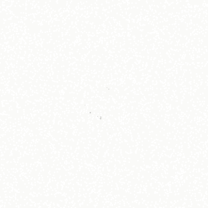 CC[C@H](CN[C@@H](C(=O)c1c[nH]c2ccccc12)c1ccccc1)c1ccc(Cl)cc1